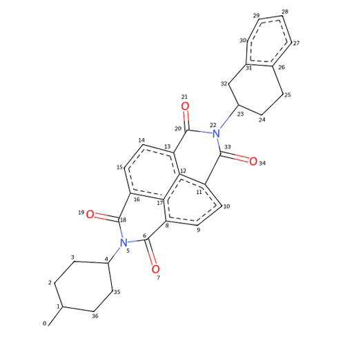 CC1CCC(N2C(=O)c3ccc4c5c(ccc(c35)C2=O)C(=O)N(C2CCc3ccccc3C2)C4=O)CC1